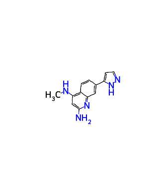 CNc1cc(N)nc2cc(-c3ccn[nH]3)ccc12